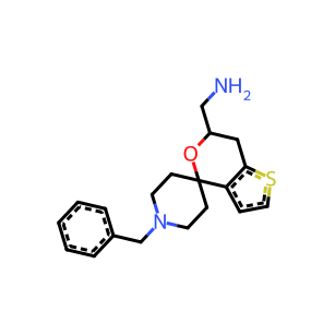 NCC1Cc2sccc2C2(CCN(Cc3ccccc3)CC2)O1